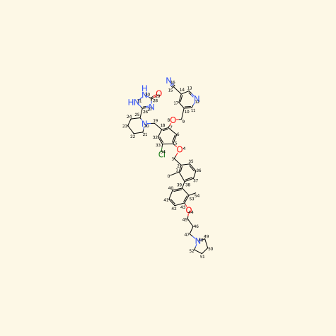 Cc1c(COc2cc(OCc3cncc(C#N)c3)c(CN3CCCCC3c3nc(=O)[nH][nH]3)cc2Cl)cccc1-c1cccc(OCCCN2CCCC2)c1C